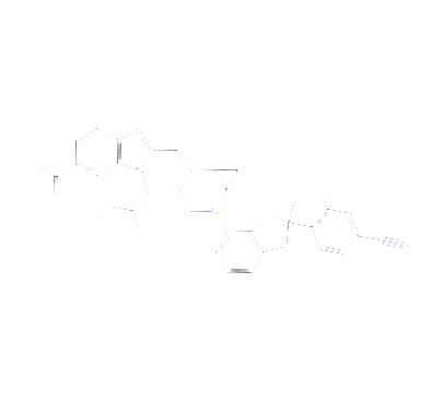 COC(C)Cn1c(CN2CCN(c3cccc4c3OC(C)(c3ccc(C#N)cc3F)O4)C3CC32)nc2ccc(C(=O)O)cc21